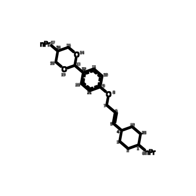 CCCC1CCC(C=CCOc2ccc(C3OCC(CCC)CO3)cc2)CC1